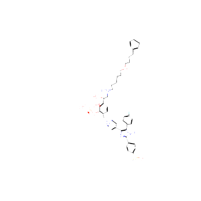 C[S+]([O-])c1ccc(-c2nc(-c3cc[n+](Cc4ccc(C(O)CNCCCCCCOCCCCc5ccccc5)cc4OP(=O)(O)O)cc3)c(-c3ccc(F)cc3)[nH]2)cc1